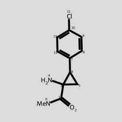 CNC(=O)C1(N)CC1c1ccc(Cl)cc1